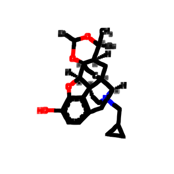 CCC1O[C@]23CC[C@@]4(C[C@@H]2[C@@](C)(C(C)(C)C)O1)[C@H]1Cc2ccc(O)c5c2[C@@]4(CCN1CC1CC1)[C@H]3O5